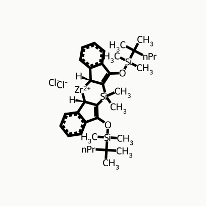 CCCC(C)(C)[Si](C)(C)OC1=C2[C@@H]([Zr+2][C@H]3C(=C(O[Si](C)(C)C(C)(C)CCC)c4ccccc43)[Si]2(C)C)c2ccccc21.[Cl-].[Cl-]